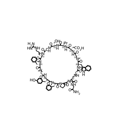 CC(C)[C@@H]1NC(=O)[C@H](CC(=O)O)NC(=O)[C@H](C)N(C)C(=O)[C@@H](Cc2c[nH]c3ccccc23)NC(=O)CNC[C@@H](C(=O)NCC(N)=O)NC(=O)[C@@H]2CCCN2C(=O)[C@H](Cc2ccccc2)N(C)C(=O)[C@H](Cc2ccc(O)cc2)NC(=O)CN(C)C(=O)[C@H](Cc2ccccc2)N(C)C(=O)[C@H](CCCNC(=N)N)NC(=O)CNC(=O)[C@H](CO)NC1=O